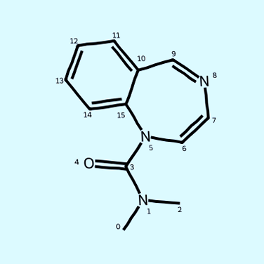 CN(C)C(=O)N1C=CN=Cc2ccccc21